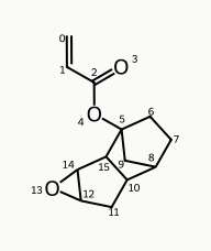 C=CC(=O)OC12CCC(C1)C1CC3OC3C12